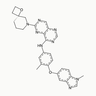 Cc1cc(Nc2ncnc3cnc(N4CCC[C@@]5(CCO5)C4)nc23)ccc1Oc1ccc2c(c1)ncn2C